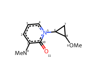 CNc1cccn(C2CC2OC)c1=O